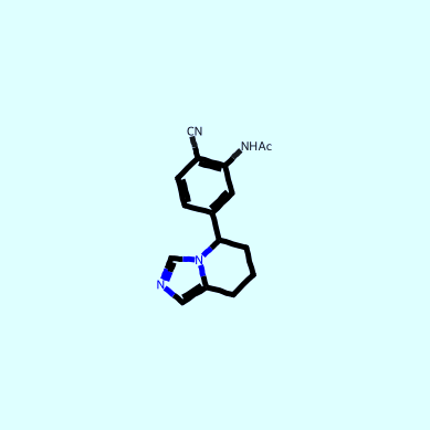 CC(=O)Nc1cc(C2CCCc3cncn32)ccc1C#N